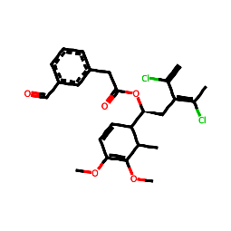 C=C(Cl)/C(C[C@H](OC(=O)Cc1cccc(C=O)c1)C1C=CC(OC)=C(OC)C1C)=C(\C)Cl